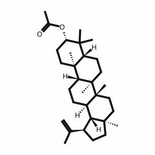 C=C(C)[C@@H]1CC[C@]2(C)CC[C@]3(C)[C@H](CC[C@@H]4[C@@]5(C)CC[C@H](OC(C)=O)C(C)(C)[C@@H]5CC[C@]43C)[C@@H]12